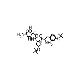 CC(C)(C)Oc1ccc(C[C@@H](N)C(=O)N2C[C@H](OC(C)(C)C)C[C@H]2C(=O)N[C@@H](CC(N)=O)C(=O)O)cc1